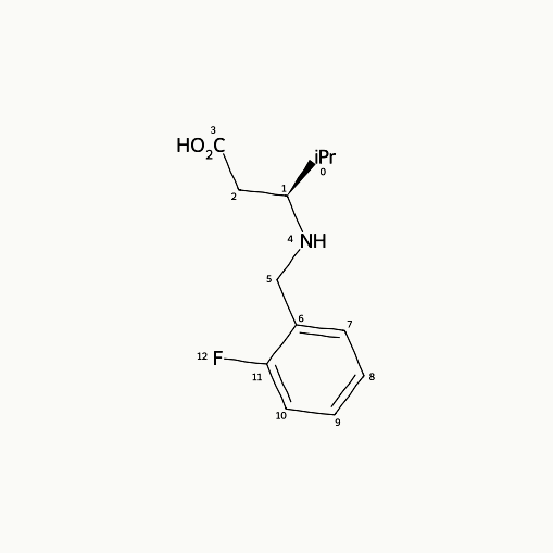 CC(C)[C@H](CC(=O)O)NCc1ccccc1F